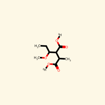 [2H]OC(=O)C(C)C(C(=O)O[2H])C(CC)OC